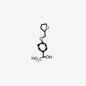 O=C(O)C(O)c1ccc(OCC2CCCO2)cc1